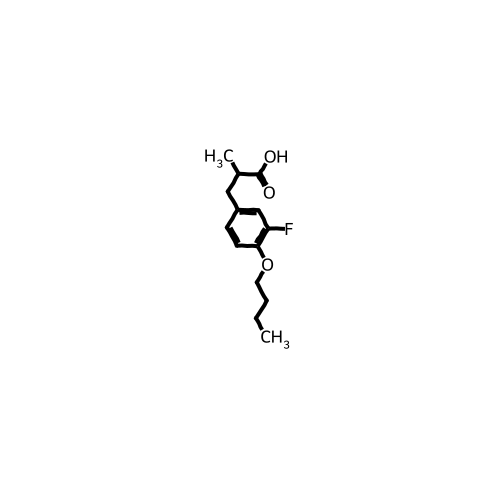 CCCCOc1ccc(CC(C)C(=O)O)cc1F